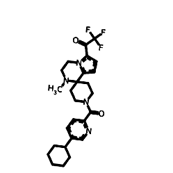 CN1CCn2c(C(=O)C(F)(F)F)ccc2C12CCN(C(=O)c1ccc(C3CCCCC3)cn1)CC2